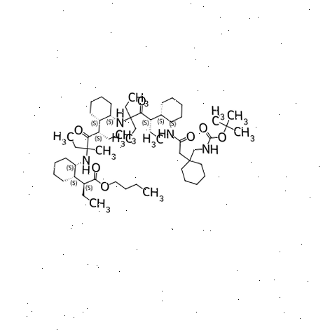 CCCCOC(=O)[C@@H](CC)[C@@H]1CCCC[C@@H]1NC(C)(CC)C(=O)[C@@H](CC)[C@@H]1CCCC[C@@H]1NC(CC)(CC)C(=O)[C@@H](CC)[C@@H]1CCCC[C@@H]1NC(=O)CC1(CNC(=O)OC(C)(C)C)CCCCC1